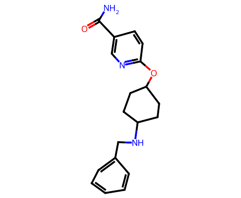 NC(=O)c1ccc(OC2CCC(NCc3ccccc3)CC2)nc1